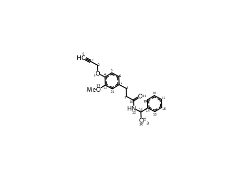 C#CCOc1ccc(CCC(=O)NC(c2ccccc2)C(F)(F)F)cc1OC